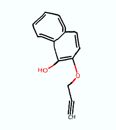 C#CCOc1ccc2ccccc2c1O